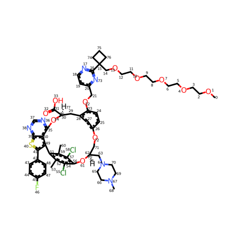 COCCOCCOCCOCCOCC1(c2nccc(COc3ccc4cc3C[C@H](C(=O)O)Oc3ncnc5sc(-c6ccc(F)cc6)c(c35)-c3c(C)c(Cl)c(c(Cl)c3C)O[C@H](CN3CCN(C)CC3)CO4)n2)CCC1